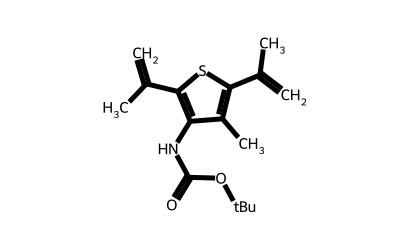 C=C(C)c1sc(C(=C)C)c(NC(=O)OC(C)(C)C)c1C